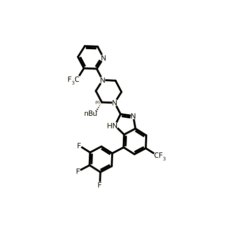 CCCC[C@@H]1CN(c2ncccc2C(F)(F)F)CCN1c1nc2cc(C(F)(F)F)cc(-c3cc(F)c(F)c(F)c3)c2[nH]1